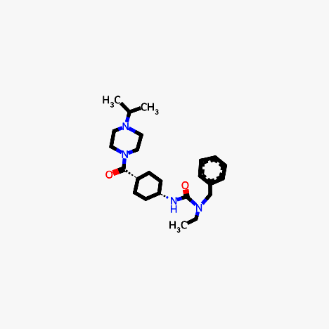 CCN(Cc1ccccc1)C(=O)N[C@H]1CC[C@@H](C(=O)N2CCN(C(C)C)CC2)CC1